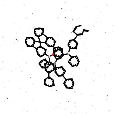 C=C/C=C(\C=C/C)c1ccc(N(c2ccccc2)c2cc(-c3ccc4c(c3)C3(c5ccccc5-4)c4ccccc4-c4ccc(N(c5ccccc5)c5ccc(-c6ccccc6)cc5)cc43)cc(N(c3ccccc3)c3ccc(-c4ccccc4)cc3)c2)cc1